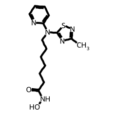 Cc1nsc(N(CCCCCCC(=O)NO)c2ccccn2)n1